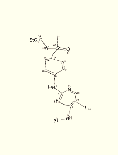 CCNc1nc(Nc2ccc(S(C)(=O)=NC(=O)OCC)cc2)ncc1I